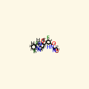 Cc1c(F)cc(C(=O)Nc2ccon2)cc1-c1cc2cnn(-c3c(F)cccc3F)c2n(C)c1=O